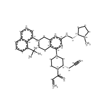 [2H]C([2H])([2H])c1cccc2cncc(N3CCc4c(nc(OC[C@@H]5CCCN5C)nc4N4CCN(C(=O)C=C)[C@@H](CC#N)C4)C3)c12